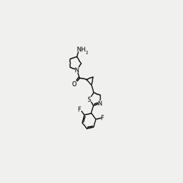 NC1CCN(C(=O)C2CC2C2CN=C(C3C(F)=CC=CC3F)S2)C1